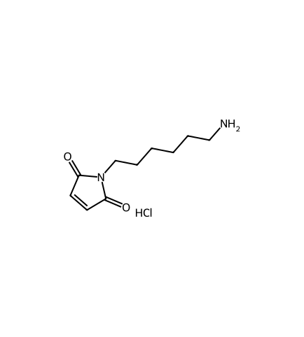 Cl.NCCCCCCN1C(=O)C=CC1=O